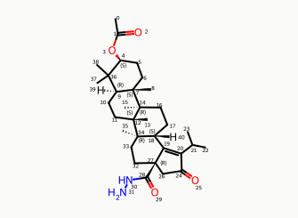 CC(=O)O[C@H]1CC[C@@]2(C)[C@@H](CC[C@]3(C)[C@]2(C)CC[C@@H]2C4=C(C(C)C)C(=O)C[C@]4(C(=O)NN)CC[C@]23C)C1(C)C